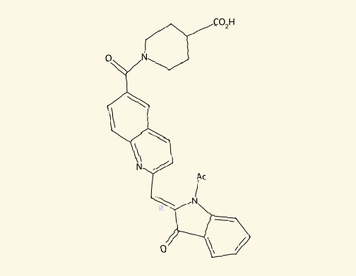 CC(=O)N1/C(=C\c2ccc3cc(C(=O)N4CCC(C(=O)O)CC4)ccc3n2)C(=O)c2ccccc21